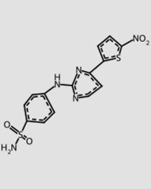 NS(=O)(=O)c1ccc(Nc2nccc(-c3ccc([N+](=O)[O-])s3)n2)cc1